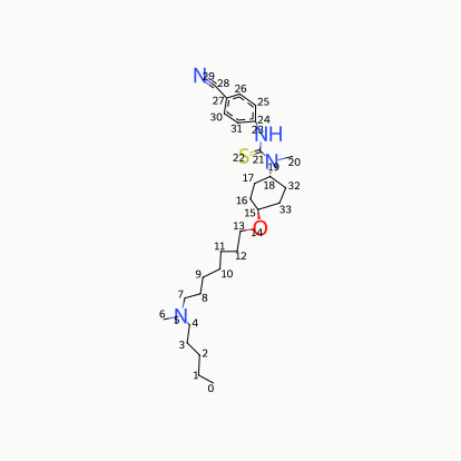 CCCCCN(C)CCCCCCCO[C@H]1CC[C@H](N(C)C(=S)Nc2ccc(C#N)cc2)CC1